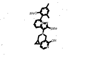 COc1cc(C)cc(C)c1-c1cccc2c(N(Cc3cccnc3O)CC3CC3)c(SC)nn12